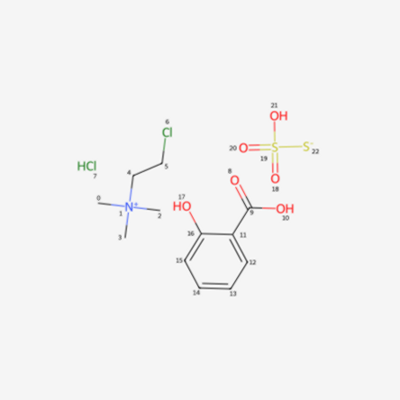 C[N+](C)(C)CCCl.Cl.O=C(O)c1ccccc1O.O=S(=O)(O)[S-]